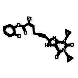 CC/C(=C/CC#Cc1nc2c([nH]1)c(=O)n(C1CC1)c(=O)n2C1CC1)C(=O)Oc1ccccc1Cl